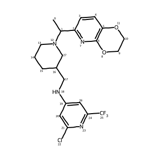 CC(c1ccc2c(n1)OCCO2)N1CCCC(CNc2cc(Cl)nc(C(F)(F)F)c2)C1